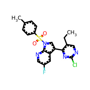 CCc1cnc(Cl)nc1-c1cn(S(=O)(=O)c2ccc(C)cc2)c2ncc(F)cc12